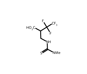 CNC(=S)NCC(C(=O)O)C(F)(F)C(F)(F)F